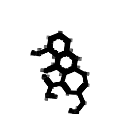 COC(=O)C1=CC(COC(C)=O)=COc2oc3cccc(OC(C)=O)c3c(=O)c21